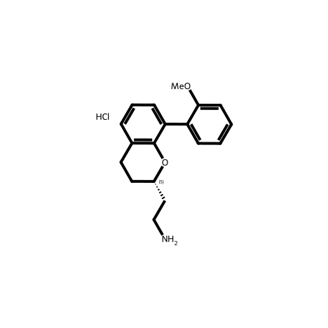 COc1ccccc1-c1cccc2c1O[C@H](CCN)CC2.Cl